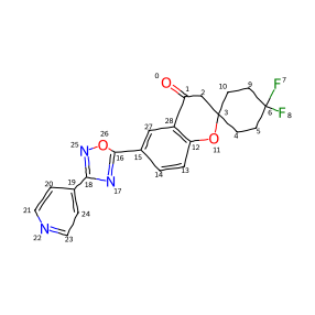 O=C1CC2(CCC(F)(F)CC2)Oc2ccc(-c3nc(-c4ccncc4)no3)cc21